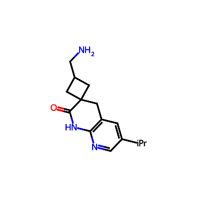 CC(C)c1cnc2c(c1)CC1(CC(CN)C1)C(=O)N2